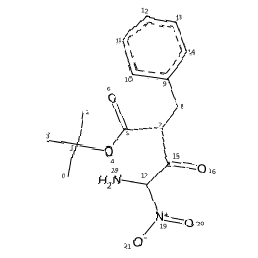 CC(C)(C)OC(=O)C(Cc1ccccc1)C(=O)C(N)[N+](=O)[O-]